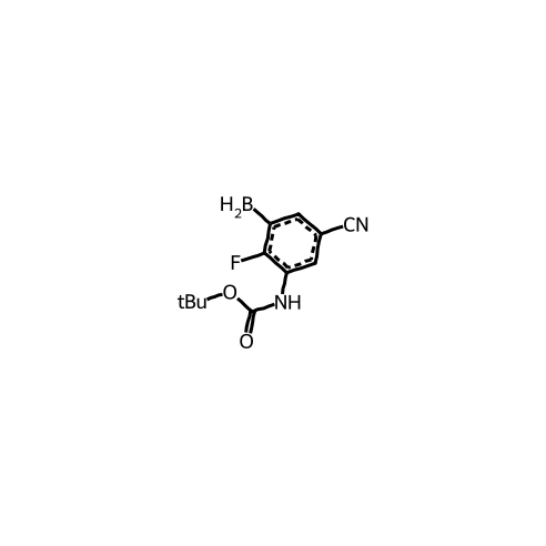 Bc1cc(C#N)cc(NC(=O)OC(C)(C)C)c1F